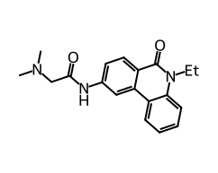 CCn1c(=O)c2ccc(NC(=O)CN(C)C)cc2c2ccccc21